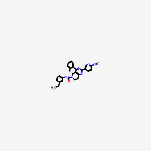 [C-]#[N+]c1ccc(-c2nc3c(c(-c4ccccc4C)n2)CN(C(=O)Nc2cccc(CC)c2)CC3)cn1